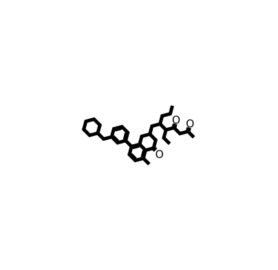 CCCC(CC1CC(=O)c2c(C)ccc(-c3cccc(CC4CCCCC4)c3)c2C1)C(CC)C(=O)CC(C)=O